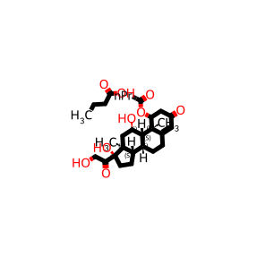 CCCC(=O)O.CCCC(=O)OC1CC(=O)C=C2CC[C@@H]3[C@H]([C@@H](O)C[C@@]4(C)[C@H]3CC[C@]4(O)C(=O)CO)[C@]21C